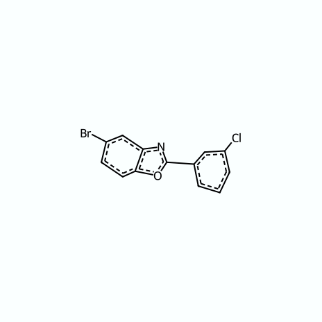 Clc1cccc(-c2nc3cc(Br)ccc3o2)c1